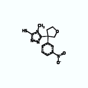 Cn1c(S)nnc1C1(c2cccc([N+](=O)[O-])c2)CCOC1